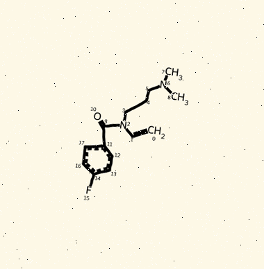 C=CN(CCCN(C)C)C(=O)c1ccc(F)cc1